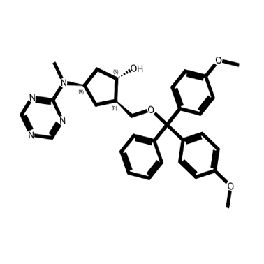 COc1ccc(C(OC[C@H]2C[C@@H](N(C)c3ncncn3)C[C@@H]2O)(c2ccccc2)c2ccc(OC)cc2)cc1